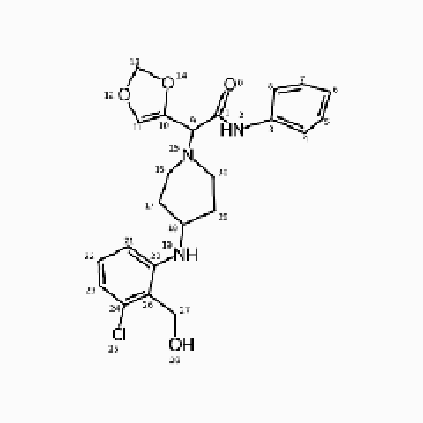 O=C(Nc1ccccc1)C(C1=COCO1)N1CCC(Nc2cccc(Cl)c2CO)CC1